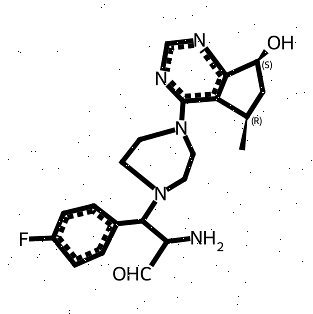 C[C@@H]1C[C@H](O)c2ncnc(N3CCN(C(c4ccc(F)cc4)C(N)C=O)CC3)c21